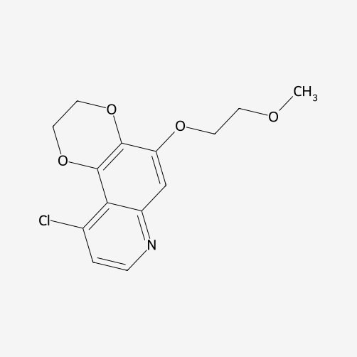 COCCOc1cc2nccc(Cl)c2c2c1OCCO2